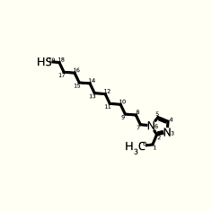 CCc1nccn1CCCCCCCCCCCCS